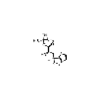 CC(C)(C)OC(=O)C(=N)CC(C)(O)c1nccs1